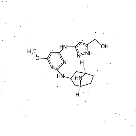 COc1cc(Nc2cc(CO)[nH]n2)nc(NC2C[C@H]3CC[C@@H](C2)N3)n1